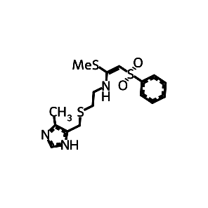 CS/C(=C/S(=O)(=O)c1ccccc1)NCCSCc1[nH]cnc1C